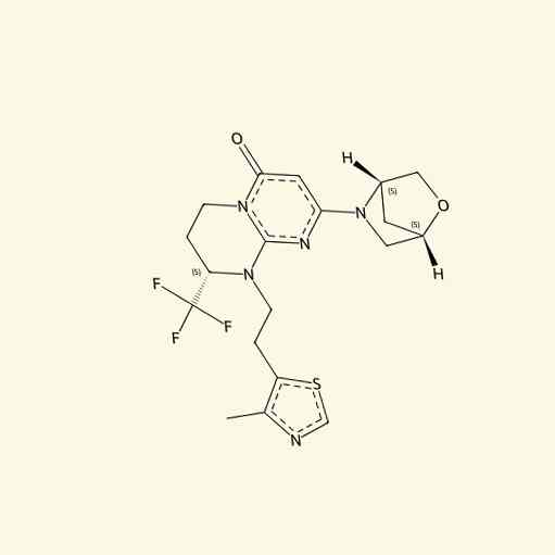 Cc1ncsc1CCN1c2nc(N3C[C@@H]4C[C@H]3CO4)cc(=O)n2CC[C@H]1C(F)(F)F